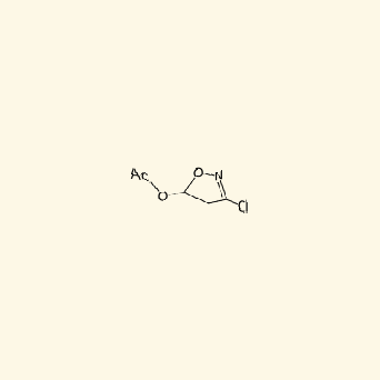 CC(=O)OC1CC(Cl)=NO1